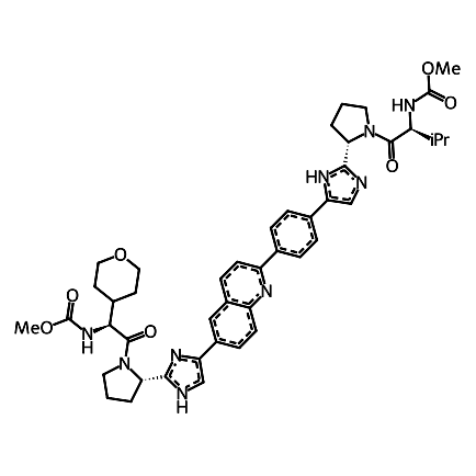 COC(=O)N[C@H](C(=O)N1CCC[C@H]1c1ncc(-c2ccc(-c3ccc4cc(-c5c[nH]c([C@@H]6CCCN6C(=O)[C@@H](NC(=O)OC)C6CCOCC6)n5)ccc4n3)cc2)[nH]1)C(C)C